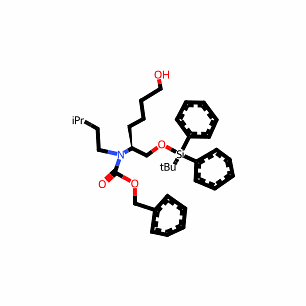 CC(C)CCN(C(=O)OCc1ccccc1)[C@@H](CCCCO)CO[Si](c1ccccc1)(c1ccccc1)C(C)(C)C